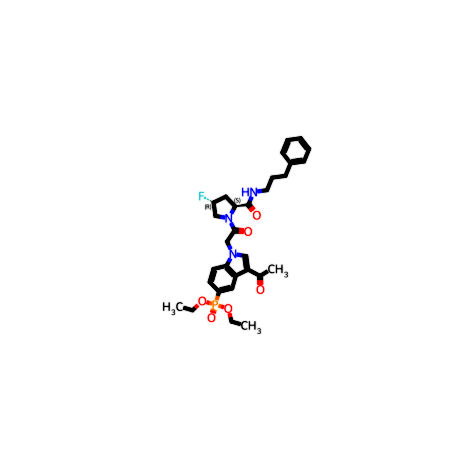 CCOP(=O)(OCC)c1ccc2c(c1)c(C(C)=O)cn2CC(=O)N1C[C@H](F)C[C@H]1C(=O)NCCCc1ccccc1